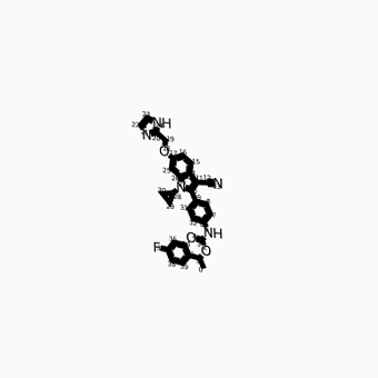 CC(OC(=O)Nc1ccc(-c2c(C#N)c3ccc(OCc4ncc[nH]4)cc3n2C2CC2)cc1)c1ccc(F)cc1